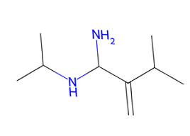 C=C(C(C)C)C(N)NC(C)C